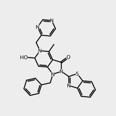 CC1=c2c(n(Cc3ccccc3)n(-c3nc4ccccc4s3)c2=O)=CC(O)N1Cc1ccncn1